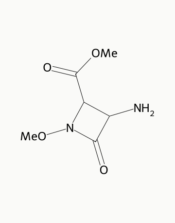 COC(=O)C1C(N)C(=O)N1OC